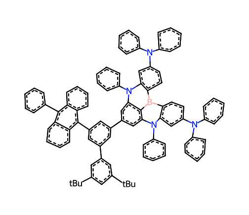 CC(C)(C)c1cc(-c2cc(-c3cc4c5c(c3)N(c3ccccc3)c3cc(N(c6ccccc6)c6ccccc6)ccc3B5c3ccc(N(c5ccccc5)c5ccccc5)cc3N4c3ccccc3)cc(-c3c4ccccc4c(-c4ccccc4)c4ccccc34)c2)cc(C(C)(C)C)c1